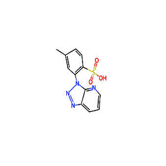 Cc1ccc(S(=O)(=O)O)c(-n2nnc3cccnc32)c1